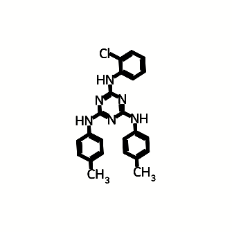 Cc1ccc(Nc2nc(Nc3ccc(C)cc3)nc(Nc3ccccc3Cl)n2)cc1